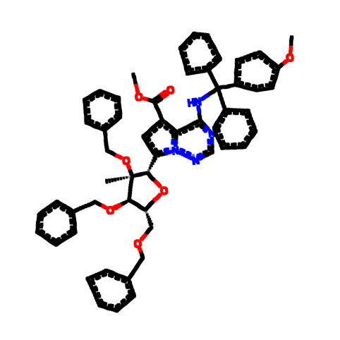 COC(=O)c1cc([C@@H]2O[C@H](COCc3ccccc3)[C@@H](OCc3ccccc3)[C@@]2(C)OCc2ccccc2)n2ncnc(NC(c3ccccc3)(c3ccccc3)c3ccc(OC)cc3)c12